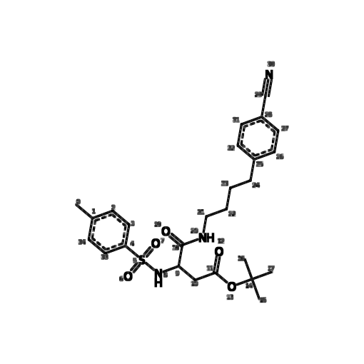 Cc1ccc(S(=O)(=O)NC(CC(=O)OC(C)(C)C)C(=O)NCCCCc2ccc(C#N)cc2)cc1